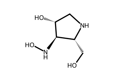 OC[C@H]1NC[C@@H](O)[C@@H]1NO